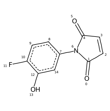 O=C1C=CC(=O)N1c1ccc(F)c(O)c1